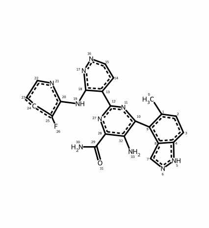 Cc1ccc2[nH]ncc2c1-c1nc(-c2ccnnc2Nc2ncccc2F)nc(C(N)=O)c1N